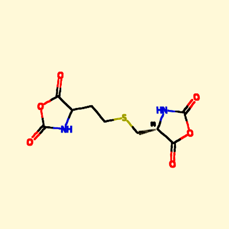 O=C1NC(CCSC[C@@H]2NC(=O)OC2=O)C(=O)O1